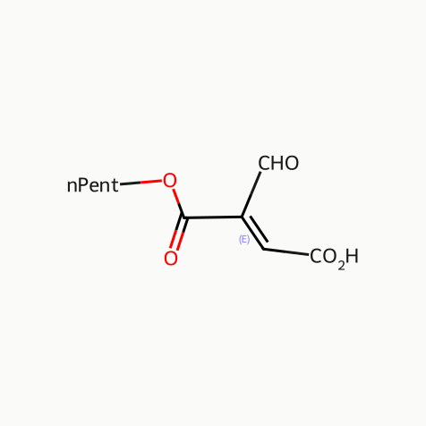 CCCCCOC(=O)/C(C=O)=C/C(=O)O